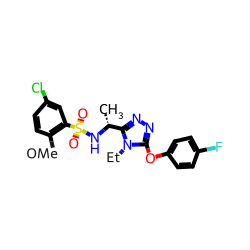 CCn1c(Oc2ccc(F)cc2)nnc1[C@@H](C)NS(=O)(=O)c1cc(Cl)ccc1OC